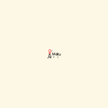 [Mo].[O]=[Ni].[Ru]